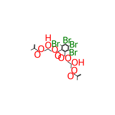 C=C(C)C(=O)OCC(O)COC(=O)c1c(Br)c(Br)c(Br)c(Br)c1C(=O)OCC(O)COC(=O)C(=C)C